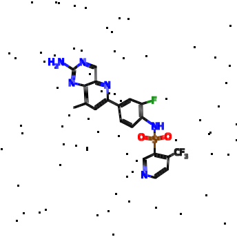 Cc1cc(-c2ccc(NS(=O)(=O)c3cnccc3C(F)(F)F)c(F)c2)nc2cnc(N)nc12